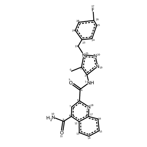 Cc1c(NC(=O)c2cc(C(N)=O)c3ccccc3n2)nnn1Cc1ccc(F)cc1